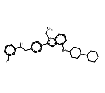 FC(F)(F)Cn1c(-c2ccc(CNc3cccc(Cl)c3)cc2)cc2c(NC3CCN(C4CCOCC4)CC3)cccc21